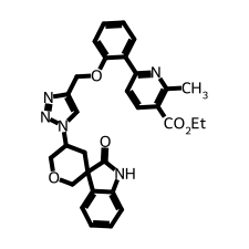 CCOC(=O)c1ccc(-c2ccccc2OCc2cn(C3COCC4(C3)C(=O)Nc3ccccc34)nn2)nc1C